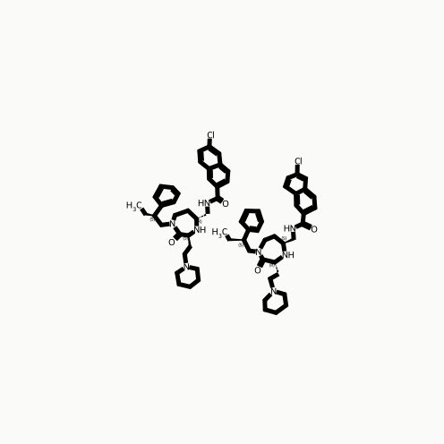 CC[C@H](CN1CC[C@@H](CNC(=O)c2ccc3cc(Cl)ccc3c2)N[C@H](CCN2CCCCC2)C1=O)c1ccccc1.CC[C@H](CN1CC[C@H](CNC(=O)c2ccc3cc(Cl)ccc3c2)N[C@@H](CCN2CCCCC2)C1=O)c1ccccc1